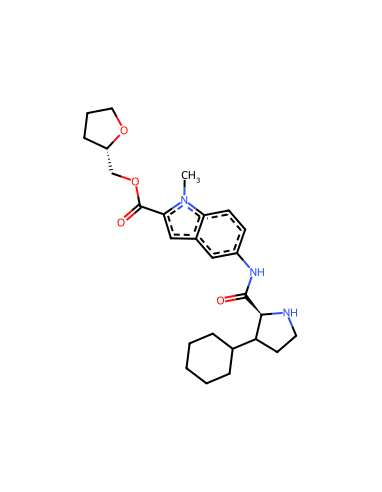 Cn1c(C(=O)OC[C@@H]2CCCO2)cc2cc(NC(=O)[C@H]3NCCC3C3CCCCC3)ccc21